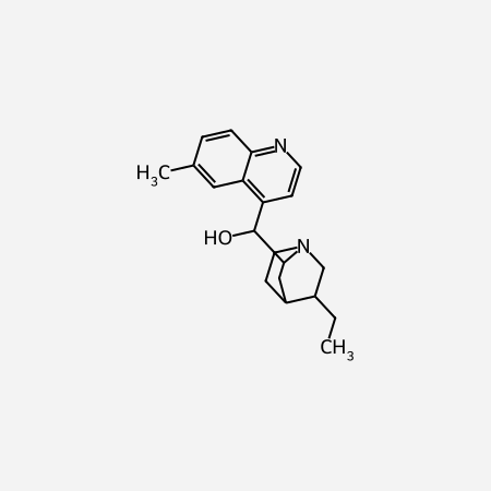 CCC1CN2CCC1CC2C(O)c1ccnc2ccc(C)cc12